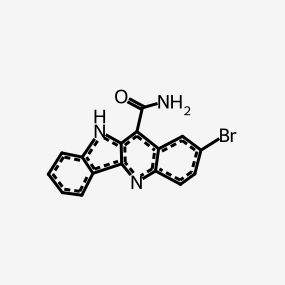 NC(=O)c1c2cc(Br)ccc2nc2c1[nH]c1ccccc12